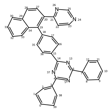 c1ccc(-c2nc(-c3ccccc3)nc(-c3ccc(-c4c(-c5ccncn5)ccc5ccccc45)cc3)n2)cc1